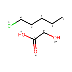 CCCCCCl.O=C(O)CO